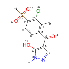 Cc1c(C(=O)c2cnn(C)c2O)ccc(S(C)(=O)=O)c1Cl